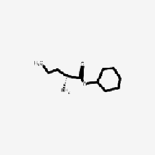 CCC[C@@H](N)C(=O)OC1CCCCC1